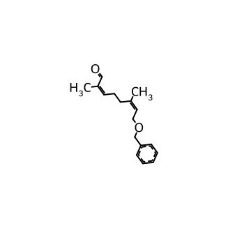 CC(C=O)=CCCC(C)=CCOCc1ccccc1